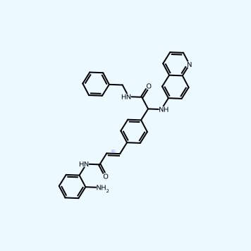 Nc1ccccc1NC(=O)/C=C/c1ccc(C(Nc2ccc3ncccc3c2)C(=O)NCc2ccccc2)cc1